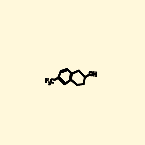 OC1CCc2cc(C(F)(F)F)ccc2C1